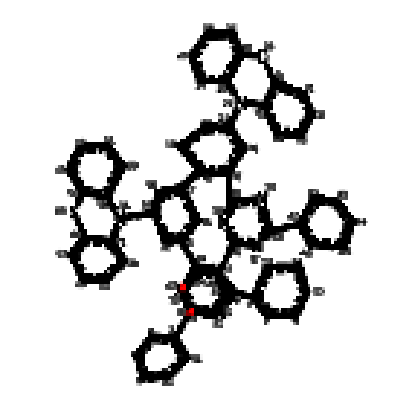 c1ccc(-c2nc(-c3ccccc3)nc(-c3cc(-c4ccc(N5c6ccccc6Oc6ccccc65)cc4-c4nc(-c5ccccc5)nc(-c5ccccc5)n4)cc(N4c5ccccc5Sc5ccccc54)c3)n2)cc1